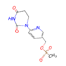 CS(=O)(=O)OCc1ccc(N2CCC(=O)NC2=O)nc1